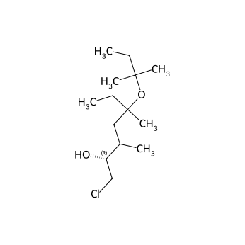 CCC(C)(C)OC(C)(CC)CC(C)[C@@H](O)CCl